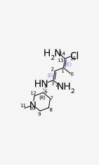 CC(/C=C(\N)N[C@@H]1CCCN(C)C1)=C(/N)Cl